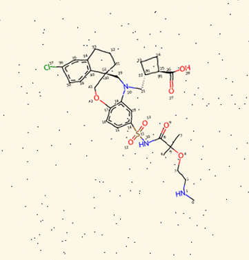 CNCCOC(C)(C)C(=O)NS(=O)(=O)c1ccc2c(c1)N(C[C@@H]1CC[C@H]1C(=O)O)C[C@@]1(CCCc3cc(Cl)ccc31)CO2